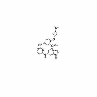 COc1cc(Nc2nccc(Nc3cnc4cc[nH]c4c3)n2)ccc1OC1CC(N(C)C)C1